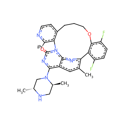 Cc1cc2c(N3C[C@@H](C)NC[C@@H]3C)nc(=O)n3c2nc1-c1c(F)ccc(F)c1OCCCc1ccnc(C(C)C)c1-3